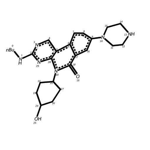 CCCCNc1ncc2c3ccc(N4CCNCC4)cc3c(=O)n(C3CCC(O)CC3)c2n1